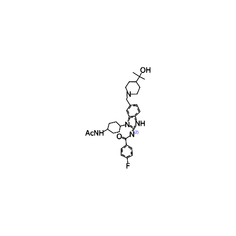 CC(=O)NC1CCC(n2/c(=N\C(=O)c3ccc(F)cc3)[nH]c3ccc(CN4CCC(C(C)(C)O)CC4)cc32)CC1